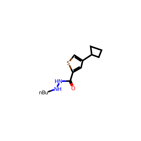 CCCCNNC(=O)c1cc(C2CCC2)cs1